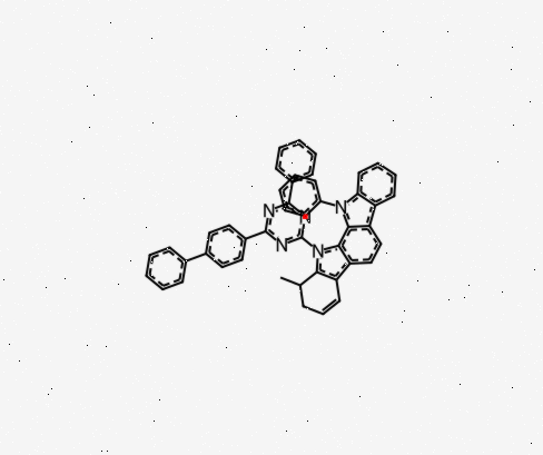 CC1CC=Cc2c1n(-c1nc(-c3ccccc3)nc(-c3ccc(-c4ccccc4)cc3)n1)c1c2ccc2c3ccccc3n(-c3ccccc3)c21